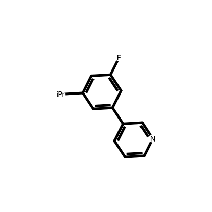 CC(C)c1cc(F)cc(-c2cccnc2)c1